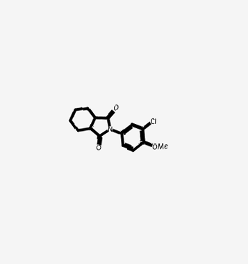 COc1ccc(N2C(=O)C3CCCCC3C2=O)cc1Cl